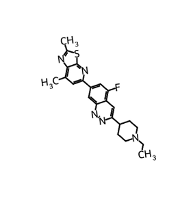 CCN1CCC(c2cc3c(F)cc(-c4cc(C)c5nc(C)sc5n4)cc3nn2)CC1